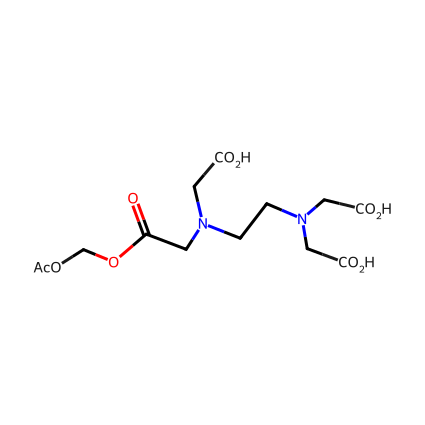 CC(=O)OCOC(=O)CN(CCN(CC(=O)O)CC(=O)O)CC(=O)O